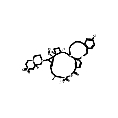 CCO[C@]12/C(=C/C[C@H](C)[C@@H](C)S(=O)(=O)NC(=O)c3ccc4c(c3)N(CCCCc3cc(Cl)ccc3CO4)C[C@@H]3CC[C@H]31)C2N1CCN2CCS(=O)(=O)C[C@H]2C1